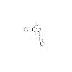 CC(=O)N1CC[C@@H](NC(=O)[C@@H](N)Cc2c(C)cc(O)cc2C)c2cc(Cc3ccccc3)cc(Br)c21